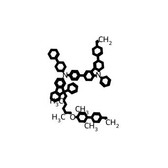 C=CC1=CCC(C2C=C(C)C(OCC(C)CCC(C)CC3(C4C=CC=CC4)C4=C(CCC=C4)c4ccc(N(c5ccc(C6=CC7=C(CC6)N(C6C=CC=CC6)C6CCC(C8=CCC(C=C)CC8)C=C76)cc5)C5CCC(C6=CCCCC6)CC5)cc43)CC2C)C=C1